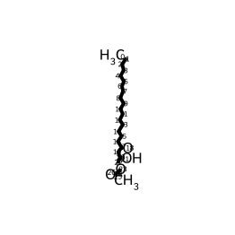 CCCCCCCCCCCCCCCCCC(=O)CC(O)COC(C)=O